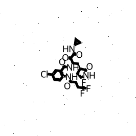 O=C(CCC(F)(F)F)Nc1ccc(Cl)cc1C(=O)NC(C[C@@H]1CCNC1=O)C(=O)C(=O)NC1CC1